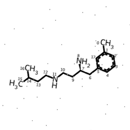 Cc1cccc(C[C@H](N)CCNCCC(C)C)c1